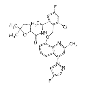 Cc1cc(-n2cc(F)cn2)c2cccc(OCc3c(Cl)cc(F)cc3[C@H](C)NC(=O)C3CCC(C)(C)O3)c2n1